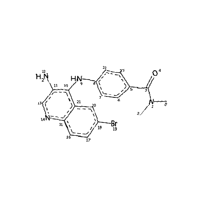 CN(C)C(=O)c1ccc(Nc2c(N)cnc3ccc(Br)cc23)cc1